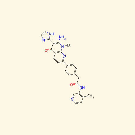 CCn1c(N)c(-c2ncc[nH]2)c(=O)c2ccc(-c3ccc(CC(=O)Nc4cnccc4C)cc3)nc21